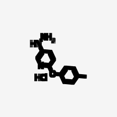 Cc1ccc(Oc2ccc(NN)cn2)cc1.Cl